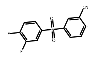 N#Cc1[c]ccc(S(=O)(=O)c2ccc(F)c(F)c2)c1